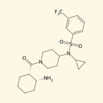 N[C@@H]1CCCC[C@@H]1C(=O)N1CCC(N(C2CC2)S(=O)(=O)c2cccc(C(F)(F)F)c2)CC1